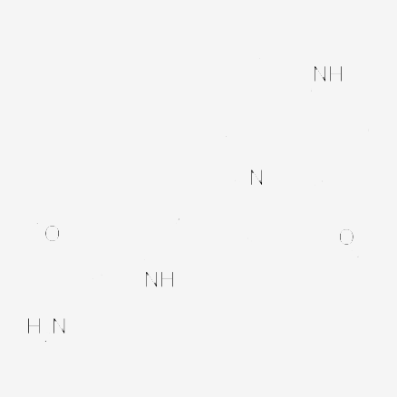 NC(=O)NCCN1CCNCC1=O